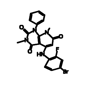 Cn1c(=O)c2c(Nc3ccc(Br)cc3F)cc(=O)n(C)c2n(-c2ccccc2)c1=O